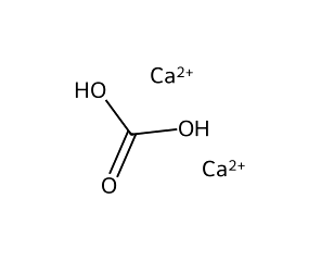 O=C(O)O.[Ca+2].[Ca+2]